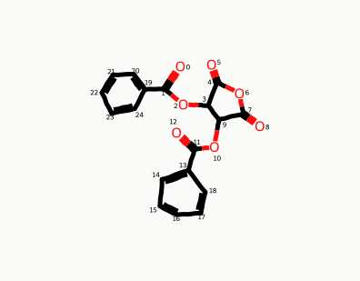 O=C(OC1C(=O)OC(=O)C1OC(=O)c1ccccc1)c1ccccc1